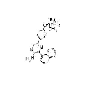 CC(C)(C)[Si](C)(C)Oc1ccc(-c2cnc(N)c(-c3cccc4ccccc34)n2)cc1